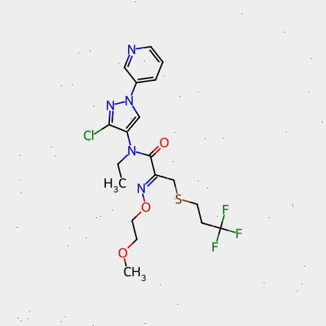 CCN(C(=O)C(CSCCC(F)(F)F)=NOCCOC)c1cn(-c2cccnc2)nc1Cl